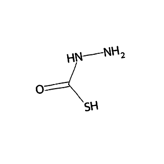 NNC(=O)S